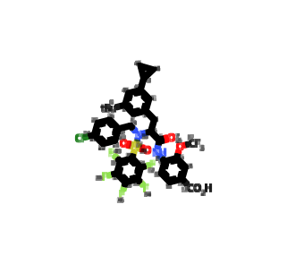 CC(C)(C)c1cc(CC(C(=O)Nc2ccc(C(=O)O)cc2OC(F)(F)F)N(Cc2ccc(Cl)cc2)S(=O)(=O)c2c(F)c(F)c(F)c(F)c2F)cc(C2CC2)c1